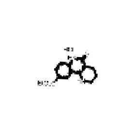 CCOC(=O)c1ccc2[nH]c(=O)c3c(c2c1)NCCC3.Cl